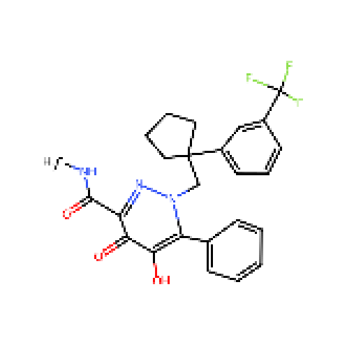 CNC(=O)c1nn(CC2(c3cccc(C(F)(F)F)c3)CCCC2)c(-c2ccccc2)c(O)c1=O